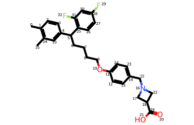 Cc1ccc(C(CCCCOc2ccc(CN3CC(C(=O)O)C3)cc2)c2ccc(F)cc2F)cc1C